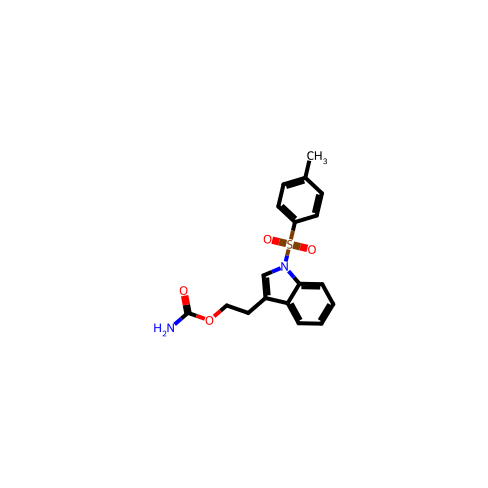 Cc1ccc(S(=O)(=O)n2cc(CCOC(N)=O)c3ccccc32)cc1